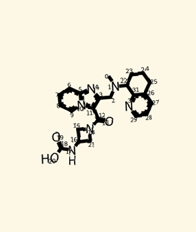 CN(Cc1nc2ccccn2c1C(=O)N1CC(NC(=O)O)C1)C1CCCc2cccnc21